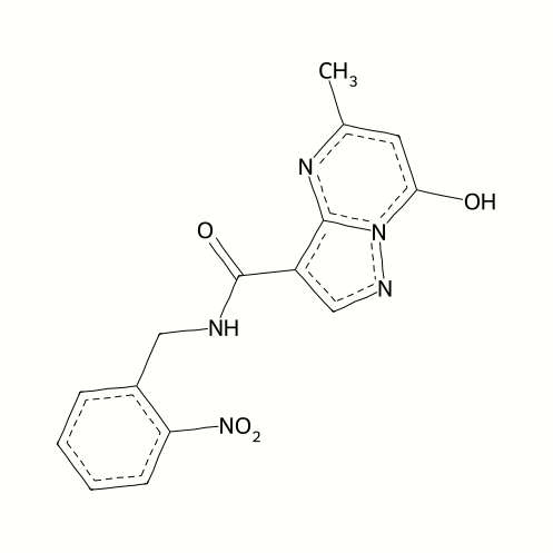 Cc1cc(O)n2ncc(C(=O)NCc3ccccc3[N+](=O)[O-])c2n1